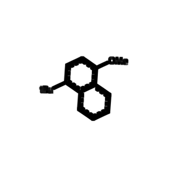 COc1ccc(C(C)(C)C)c2ccccc12